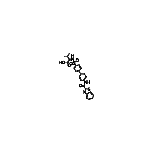 CC(C)[C@H](NS(=O)(=O)c1ccc(-c2ccc(NC(=O)c3nc4ccccc4s3)cc2)cc1)C(=O)O